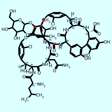 CC(C)C[C@@H](N)C(=O)N[C@H]1C(=O)N[C@@H](CC(N)=O)C(=O)N[C@H]2C(=O)N[C@H]3C(=O)N[C@@H](C(=O)N[C@H](C(=O)O)c4cc(O)cc(O)c4-c4cc3ccc4O)[C@H](O)c3ccc(c(Cl)c3)Oc3cc2cc(c3OC2OC(CO)C(O)C(O)C2OC2CC(C)(N)C(O)C(C)O2)Oc2ccc(cc2Cl)[C@H]1O